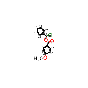 COc1ccc(C(=O)OC(Cl)c2ccccc2)cc1